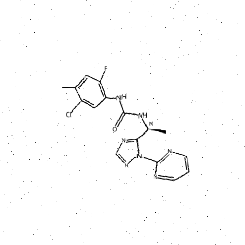 Cc1cc(F)c(NC(=O)N[C@@H](C)c2ncnn2-c2ncccn2)cc1Cl